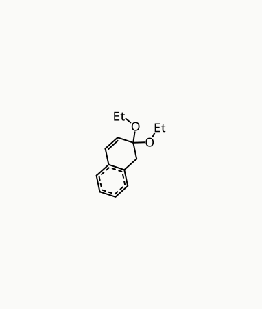 CCOC1(OCC)C=Cc2ccccc2C1